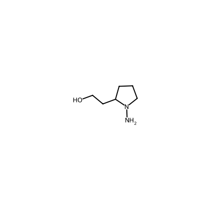 NN1CCCC1CCO